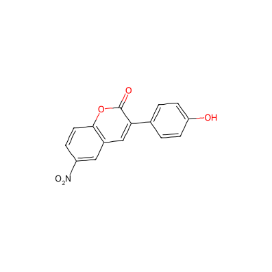 O=c1oc2ccc([N+](=O)[O-])cc2cc1-c1ccc(O)cc1